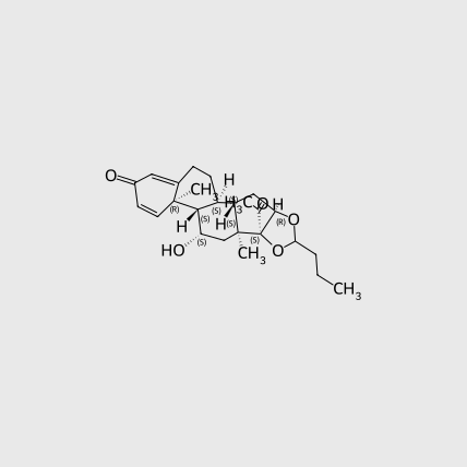 CCCC1O[C@@H]2C[C@H]3[C@@H]4CCC5=CC(=O)C=C[C@]5(C)[C@H]4[C@@H](O)C[C@]3(C)[C@]2(C(C)=O)O1